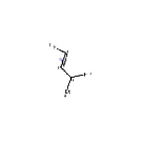 CCC(F)/C=C/F